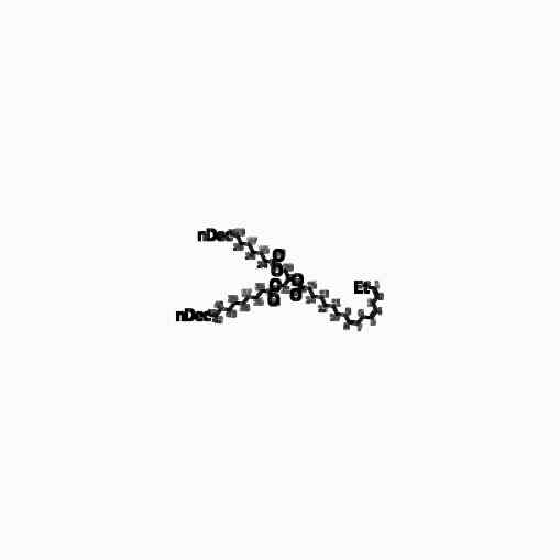 CC/C=C\C/C=C\C/C=C\CCCCCCCC(=O)O[C@H](COC(=O)CCCCCCCCCCCCCCCC)COC(=O)CCCCCCCCCCCCCCCCCC